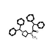 CN(C(=O)CC(c1ccccc1)c1ccccc1)C1CCN(C(c2ccccc2)c2ccccc2)C1